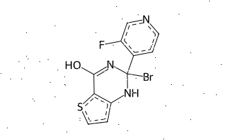 OC1=NC(Br)(c2ccncc2F)Nc2ccsc21